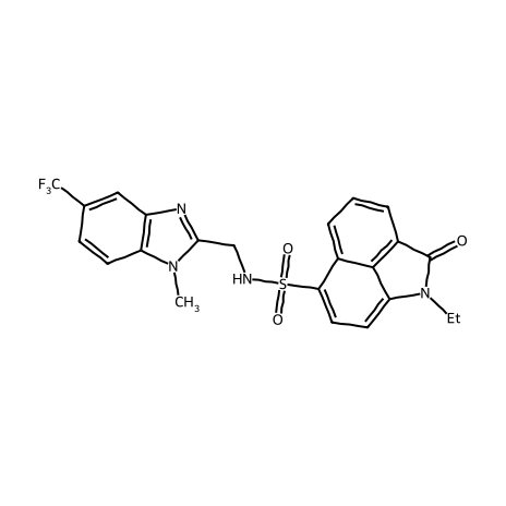 CCN1C(=O)c2cccc3c(S(=O)(=O)NCc4nc5cc(C(F)(F)F)ccc5n4C)ccc1c23